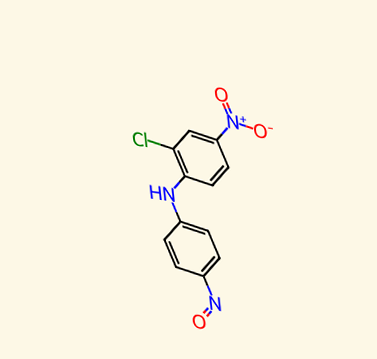 O=Nc1ccc(Nc2ccc([N+](=O)[O-])cc2Cl)cc1